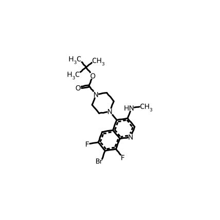 CNc1cnc2c(F)c(Br)c(F)cc2c1N1CCN(C(=O)OC(C)(C)C)CC1